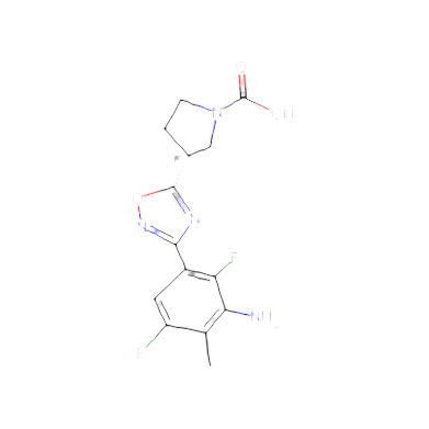 Cc1c(F)cc(-c2noc([C@@H]3CCN(C(=O)O)C3)n2)c(F)c1N